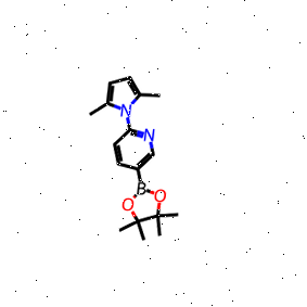 Cc1ccc(C)n1-c1ccc(B2OC(C)(C)C(C)(C)O2)cn1